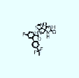 O=C1NC(=O)C(CNC(=O)c2ccc(F)cc2-c2ccc(C(F)(F)F)cc2)(c2cscn2)N1